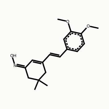 COc1ccc(C=CC2=CC(=NO)CC(C)(C)C2)cc1OC